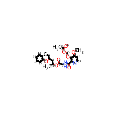 CCC(CC(C)OC(=O)CNC(=O)c1nccc(OC)c1OCOC(C)=O)Oc1ccccc1